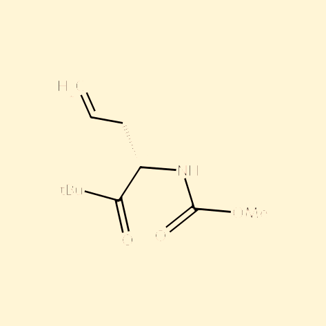 C=CC[C@H](NC(=O)OC)C(=O)C(C)(C)C